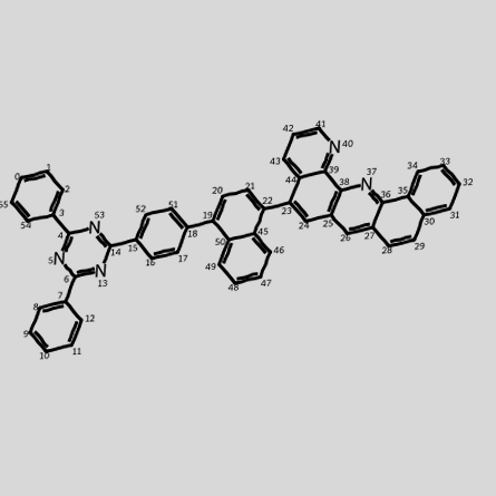 c1ccc(-c2nc(-c3ccccc3)nc(-c3ccc(-c4ccc(-c5cc6cc7ccc8ccccc8c7nc6c6ncccc56)c5ccccc45)cc3)n2)cc1